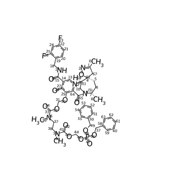 CC1=NO[C@@]2(CC[C@H](C)N3C[C@H]2n2cc(C(=O)NCc4ccc(F)cc4F)c(=O)c(OCOC(=O)N(C)CCN(C)C(=O)OCOP(=O)(OCc4ccccc4)OCc4ccccc4)c2C3=O)C1